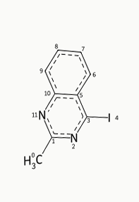 Cc1nc(I)c2ccccc2n1